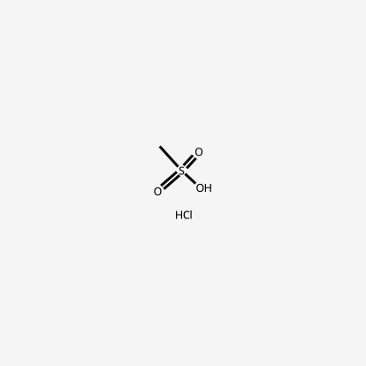 CS(=O)(=O)O.Cl